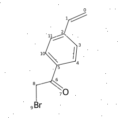 C=Cc1ccc(C(=O)CBr)cc1